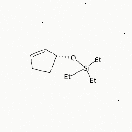 CC[Si](CC)(CC)O[C@H]1C=CCC1